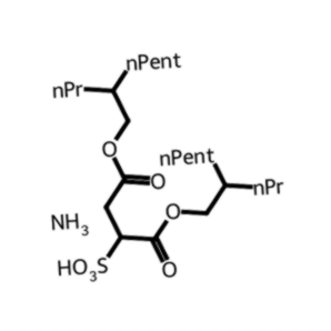 CCCCCC(CCC)COC(=O)CC(C(=O)OCC(CCC)CCCCC)S(=O)(=O)O.N